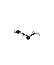 COc1ccc(CNCCCNCc2ccccc2OCCCC(N)=O)cc1